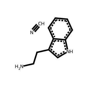 C#N.NCCc1c[nH]c2ccccc12